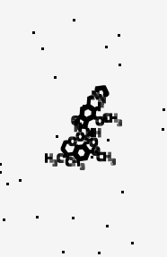 COc1ccc2c(c1S(=O)(=O)Nc1noc3cc(Cn4cccn4)c(F)c(OC)c13)OCCC2(C)C